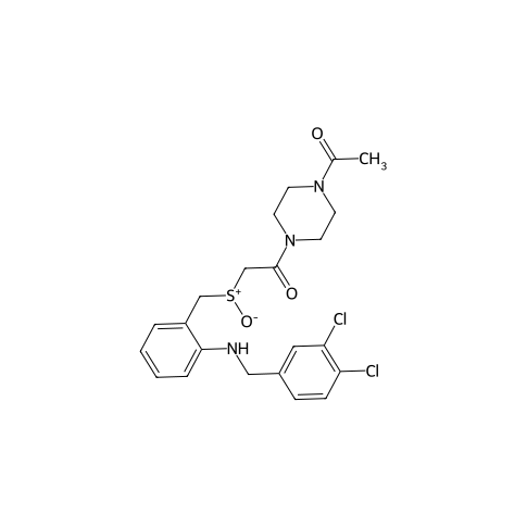 CC(=O)N1CCN(C(=O)C[S+]([O-])Cc2ccccc2NCc2ccc(Cl)c(Cl)c2)CC1